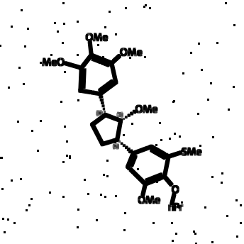 CCCOc1c(OC)cc([C@@H]2CC[C@H](c3cc(OC)c(OC)c(OC)c3)[C@@H]2OC)cc1SC